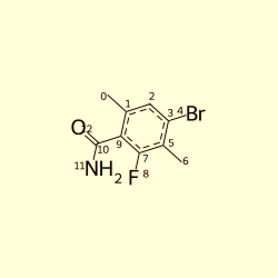 Cc1cc(Br)c(C)c(F)c1C(N)=O